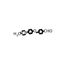 CN1CCN(c2ccc(OCc3ccc(C=O)cc3)cc2)CC1